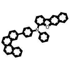 c1ccc(N(c2ccc(-c3ccc4ccc5ccc6ccccc6c5c4c3)cc2)c2cccc3c2oc2cc4ccccc4cc23)cc1